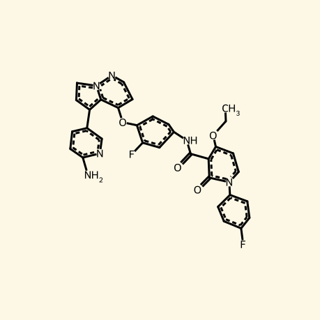 CCOc1ccn(-c2ccc(F)cc2)c(=O)c1C(=O)Nc1ccc(Oc2ccnn3ccc(-c4ccc(N)nc4)c23)c(F)c1